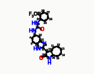 O=C(Nc1ccc2[nH]c(-c3c4cccccc-4[nH]c3=O)nc2c1)Nc1ccccc1C(F)(F)F